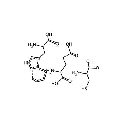 NC(CCC(=O)O)C(=O)O.NC(CS)C(=O)O.NC(Cc1c[nH]c2ccccc12)C(=O)O